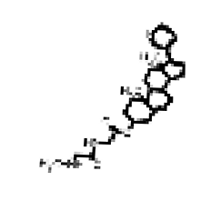 CNCC(=O)NCC(=O)OC1CCC2(C)C(=CCC3C2CCC2(C)C(c4cccnc4)=CCC32)C1